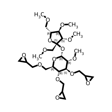 COC[C@H]1O[C@@](COC)(O[C@H]2O[C@H](COCC3CO3)[C@@H](OCC3CO3)[C@H](OCC3CO3)[C@H]2OC)[C@@H](OC)[C@@H]1OC